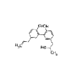 C=CCc1ccc(O)c(-c2cc(CC(C)O)ccc2O)c1